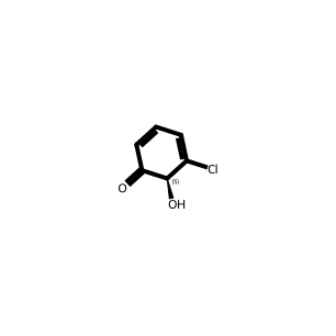 O=C1C=CC=C(Cl)[C@H]1O